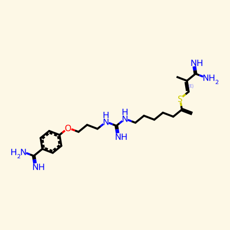 C=C(CCCCCNC(=N)NCCCOc1ccc(C(=N)N)cc1)S/C=C(\C)C(=N)N